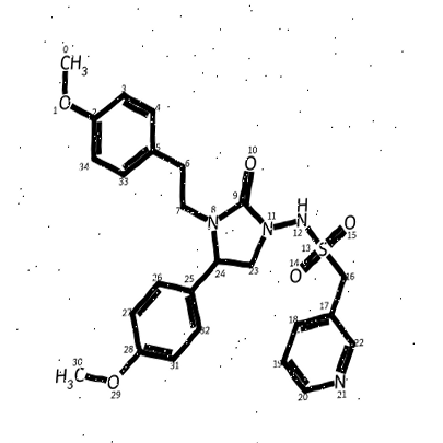 COc1ccc(CCN2C(=O)N(NS(=O)(=O)Cc3cccnc3)CC2c2ccc(OC)cc2)cc1